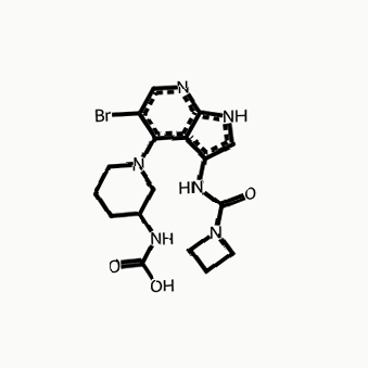 O=C(O)NC1CCCN(c2c(Br)cnc3[nH]cc(NC(=O)N4CCC4)c23)C1